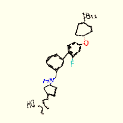 CC(C)(C)[C@H]1CC[C@H](Oc2ccc(-c3cccc(CNC4CCC(C(=O)O)C4)c3)c(F)c2)CC1